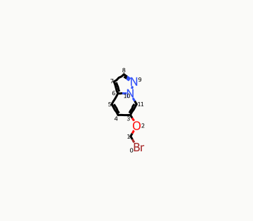 BrCOc1ccc2ccnn2c1